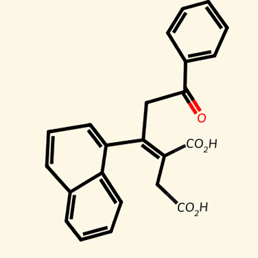 O=C(O)CC(C(=O)O)=C(CC(=O)c1ccccc1)c1cccc2ccccc12